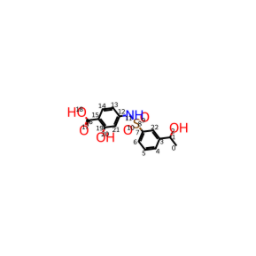 CC(O)c1cccc(S(=O)(=O)Nc2ccc(C(=O)O)c(O)c2)c1